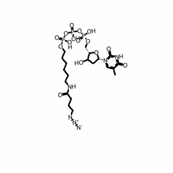 Cc1cn([C@@H]2CC(O)[C@H](COP(=O)(O)OP(=O)(O)OP(=O)(O)OCCCCCCNC(=O)CCCN=[N+]=[N-])O2)c(=O)[nH]c1=O